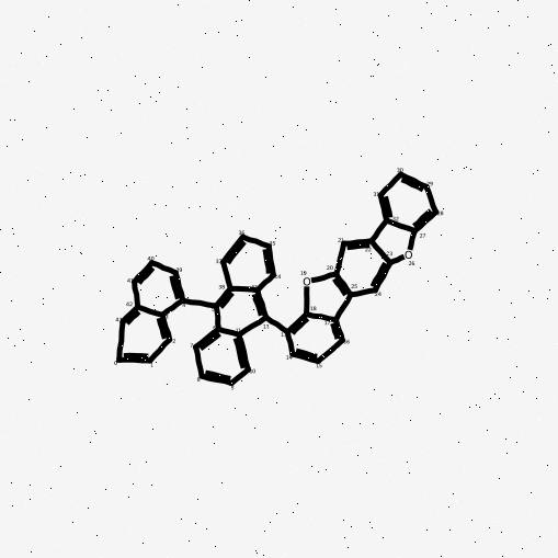 c1ccc2c(-c3c4ccccc4c(-c4cccc5c4oc4cc6c(cc45)oc4ccccc46)c4ccccc34)cccc2c1